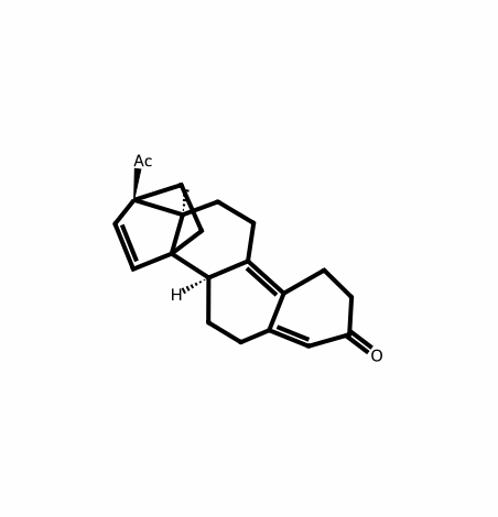 CC(=O)[C@@]12C=CC3(CC1)[C@@H]1CCC4=CC(=O)CCC4=C1CC[C@@]32C